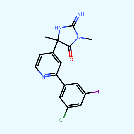 CN1C(=N)NC(C)(c2ccnc(-c3cc(Cl)cc(I)c3)c2)C1=O